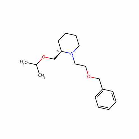 CC(C)OC[C@H]1CCCCN1CCOCc1ccccc1